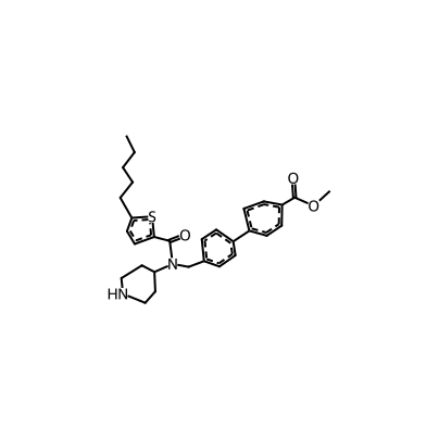 CCCCCc1ccc(C(=O)N(Cc2ccc(-c3ccc(C(=O)OC)cc3)cc2)C2CCNCC2)s1